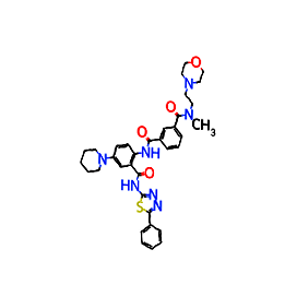 CN(CCN1CCOCC1)C(=O)c1cccc(C(=O)Nc2ccc(N3CCCCC3)cc2C(=O)Nc2nnc(-c3ccccc3)s2)c1